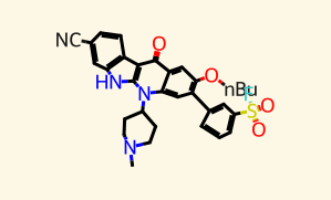 CCCCOc1cc2c(=O)c3c4ccc(C#N)cc4[nH]c3n(C3CCN(C)CC3)c2cc1-c1cccc(S(=O)(=O)F)c1